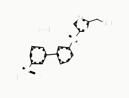 CS(=O)(=O)c1cccc(-c2cccc(S(=O)(=O)c3cnc(CN)s3)c2)c1.Cl